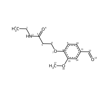 CCNC(=O)CCOc1ccc(C=O)cc1OC